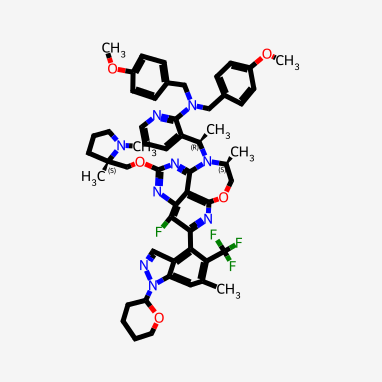 COc1ccc(CN(Cc2ccc(OC)cc2)c2ncccc2[C@@H](C)N2c3nc(OC[C@]4(C)CCCN4C)nc4c(F)c(-c5c(C(F)(F)F)c(C)cc6c5cnn6C5CCCCO5)nc(c34)OC[C@@H]2C)cc1